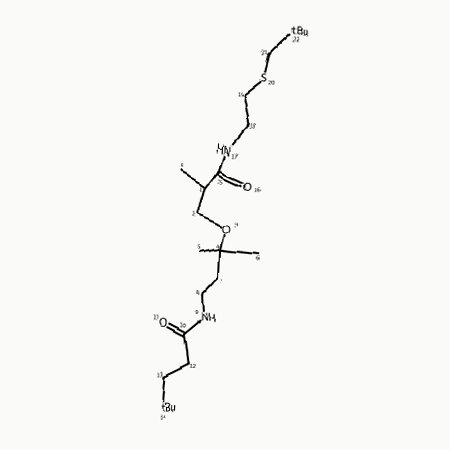 CC(COC(C)(C)CCNC(=O)CCC(C)(C)C)C(=O)NCCSCC(C)(C)C